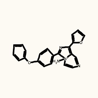 N[N+]12C=CN=CC1=C(c1ccco1)N=C2c1ccc(Oc2ccccc2)cc1